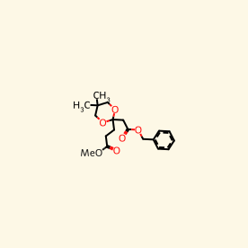 COC(=O)CCC1(CC(=O)OCc2ccccc2)OCC(C)(C)CO1